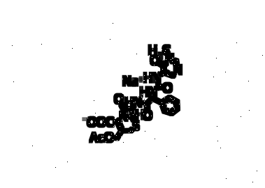 CC(=O)OCC1=C(C(=O)[O-])N2C(=O)C(NC(=O)C(NC(=O)Nc3cncn(C)c3=O)c3ccccc3)[C@@H]2SC1.[Na+]